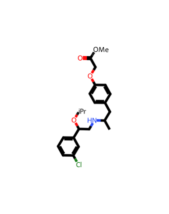 COC(=O)COc1ccc(CC(C)NCC(OC(C)C)c2cccc(Cl)c2)cc1